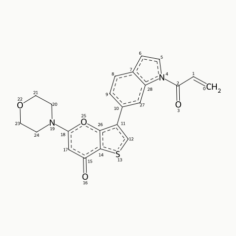 C=CC(=O)n1ccc2ccc(-c3csc4c(=O)cc(N5CCOCC5)oc34)cc21